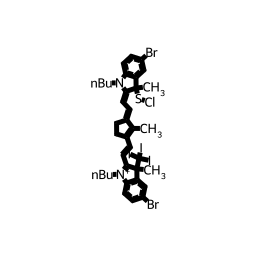 CCCCN1/C(=C/C=C2\CCC(/C=C/C3=[N+](CCCC)c4ccc(Br)cc4C3(C)C(I)(I)I)=C2C)C(C)(SCl)c2cc(Br)ccc21